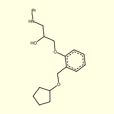 CC(C)NCC(O)COc1ccccc1COC1CCCC1